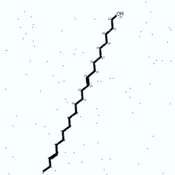 CC/C=C/CCCCCCCCC/C=C/CCCCCCCCO